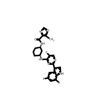 Cc1ocnc1C(=O)N[C@@H]1CCC[C@H](Nc2nc(-c3c[nH]c4c(F)cc(F)cc34)ncc2F)C1